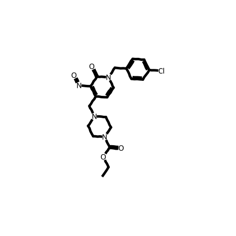 CCOC(=O)N1CCN(Cc2ccn(Cc3ccc(Cl)cc3)c(=O)c2N=O)CC1